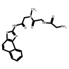 CN(CC(=O)Nc1nc2c(ccc3ccccc32)s1)C(=O)CNC(=O)CN